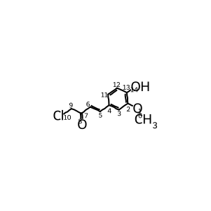 COc1cc(C=CC(=O)CCl)ccc1O